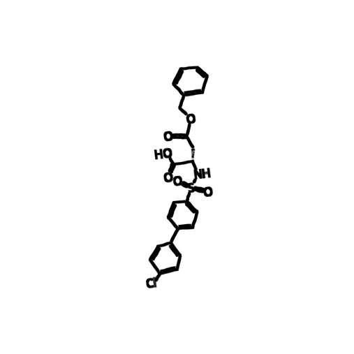 O=C(C[C@H](NS(=O)(=O)c1ccc(-c2ccc(Cl)cc2)cc1)C(=O)O)OCc1ccccc1